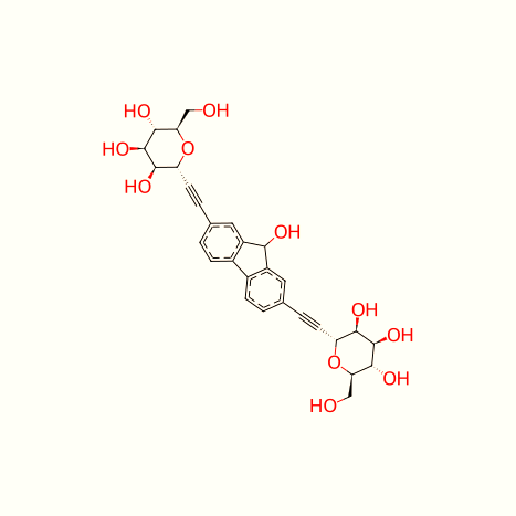 OC[C@H]1O[C@H](C#Cc2ccc3c(c2)C(O)c2cc(C#C[C@H]4O[C@H](CO)[C@@H](O)[C@H](O)[C@@H]4O)ccc2-3)[C@@H](O)[C@@H](O)[C@@H]1O